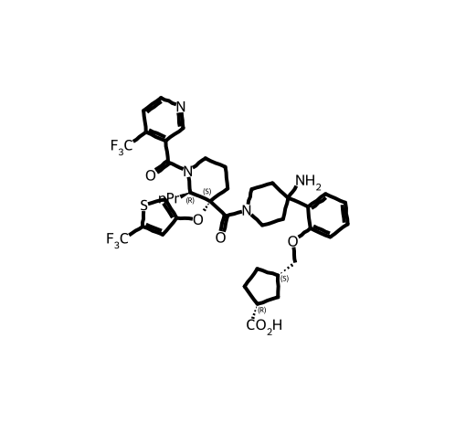 CCC[C@H]1N(C(=O)c2cnccc2C(F)(F)F)CCC[C@@]1(Oc1csc(C(F)(F)F)c1)C(=O)N1CCC(N)(c2ccccc2OC[C@H]2CC[C@@H](C(=O)O)C2)CC1